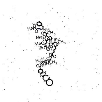 CCC(C)C(C(CC(=O)N1CCCC1C(OC)C(C)C(=O)NC(/C=C/C(=O)NO)Cc1ccccc1)OC)N(C)C(=O)CNC(=O)C(C(C)C)N(C)CCCCCCC(=O)NCC(C)(C)OCC(C)(C)CNC(=O)c1ccc2nc3c(nc2c1)CSC1CCCCCCCC1SC3